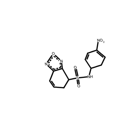 O=[N+]([O-])C1=CCC(NS(=O)(=O)C2CC=Cc3nonc32)C=C1